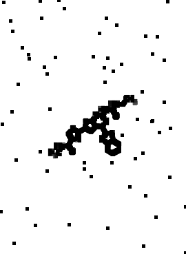 CCNC(=O)Nc1nc(-c2nc3ccccc3s2)c2cc(-c3nc(C(=O)NC)cs3)sc2n1